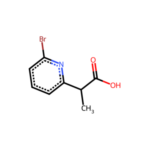 CC(C(=O)O)c1cccc(Br)n1